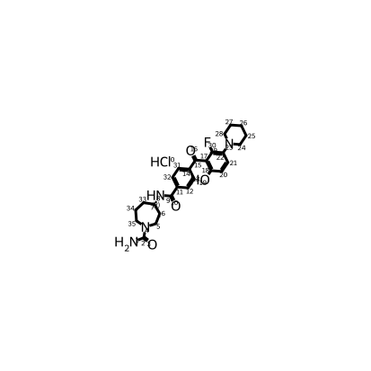 Cl.NC(=O)N1C[CH][C@@H](NC(=O)c2ccc(C(=O)c3c(O)ccc(N4CCCCC4)c3F)cc2)CCC1